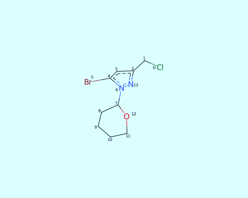 ClCc1cc(Br)n(C2CCCCO2)n1